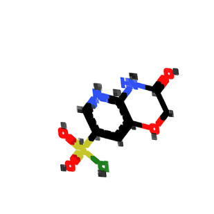 O=C1COc2cc(S(=O)(=O)Cl)cnc2N1